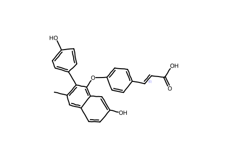 Cc1cc2ccc(O)cc2c(Oc2ccc(/C=C/C(=O)O)cc2)c1-c1ccc(O)cc1